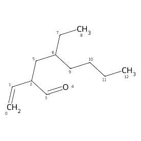 C=CC([C]=O)CC(CC)CCCC